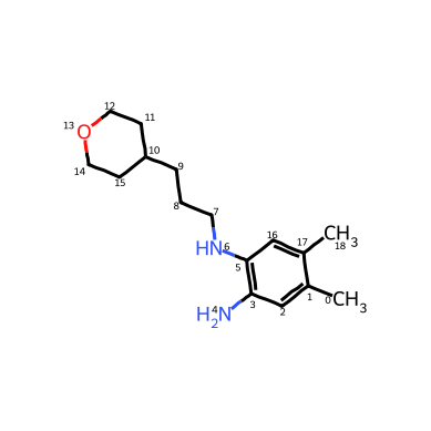 Cc1cc(N)c(NCCCC2CCOCC2)cc1C